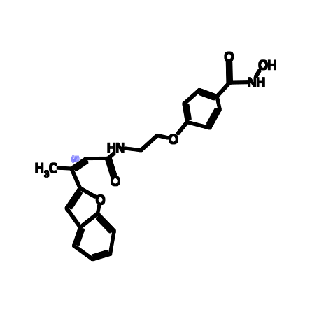 C/C(=C/C(=O)NCCOc1ccc(C(=O)NO)cc1)c1cc2ccccc2o1